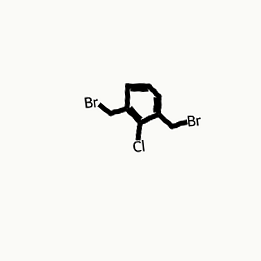 Clc1c(CBr)cccc1CBr